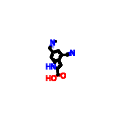 C/N=C\c1cc(C#N)c2cc(C(=O)O)[nH]c2c1